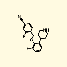 N#Cc1ccc(COc2c(F)cccc2C2CCNCC2)c(F)c1